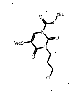 CSc1cn(C(=O)OC(C)(C)C)c(=O)n(CCCCl)c1=O